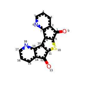 O=c1c2cccnc2c2c1sc1c(=O)c3cccnc3c12